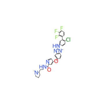 CN1CCCC1CCNC(=O)c1cc(Oc2ccc3c(c2)nc(Nc2ccc(Cl)c(-c4ccc(F)c(F)c4F)c2)n3C)ccn1